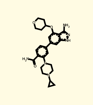 NC(=O)c1ccc(-c2cc(OC3CCOCC3)c3c(N)n[nH]c3c2)cc1N1CCN(C2CC2)CC1